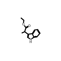 CCOC(=O)C(C)c1c[nH]c2ccccc12